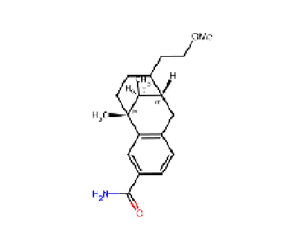 COCCC1CC[C@@]2(C)c3cc(C(N)=O)ccc3C[C@@H]1[C@@H]2C